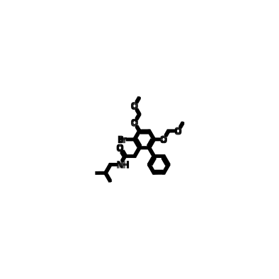 COCOc1cc(OCOC)c(-c2ccccc2)c(CC(=O)NCC(C)C)c1Br